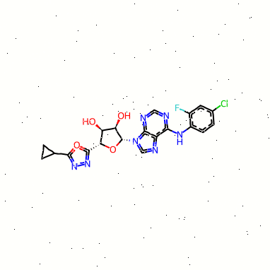 O[C@@H]1[C@H](O)[C@@H](c2nnc(C3CC3)o2)O[C@H]1n1cnc2c(Nc3ccc(Cl)cc3F)ncnc21